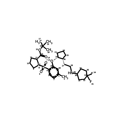 Cc1ccc(S(=O)(=O)N2CCC[C@H]2C(=O)OC(C)(C)C)c(O[C@@H]2CCC[C@@H]2CCNC2CCC(F)(F)CC2)c1